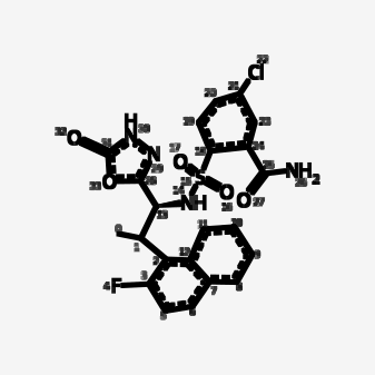 CC(c1c(F)ccc2ccccc12)[C@H](NS(=O)(=O)c1ccc(Cl)cc1C(N)=O)c1n[nH]c(=O)o1